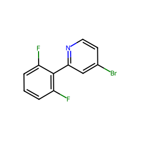 Fc1cccc(F)c1-c1cc(Br)ccn1